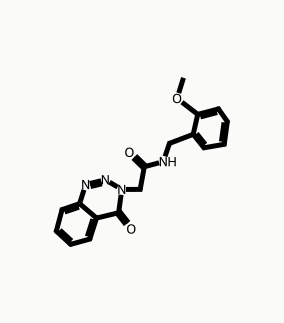 COc1ccccc1CNC(=O)Cn1nnc2ccccc2c1=O